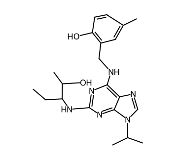 CCC(Nc1nc(NCc2cc(C)ccc2O)c2ncn(C(C)C)c2n1)C(C)O